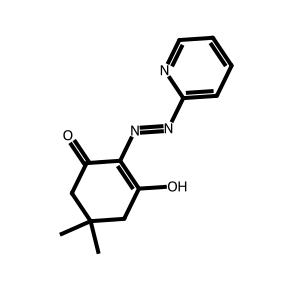 CC1(C)CC(=O)C(N=Nc2ccccn2)=C(O)C1